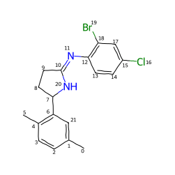 Cc1ccc(C)c(C2CCC(=Nc3ccc(Cl)cc3Br)N2)c1